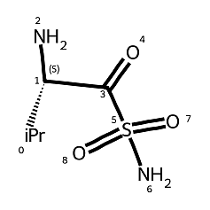 CC(C)[C@H](N)C(=O)S(N)(=O)=O